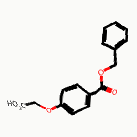 O=C(O)COc1ccc(C(=O)OCc2ccccc2)cc1